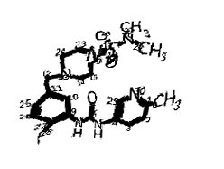 Cc1ccc(NC(=O)Nc2cc(CN3CCN(S(=O)(=O)N(C)C)CC3)ccc2F)cn1